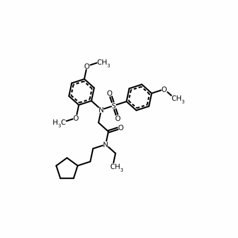 CCN(CCC1CCCC1)C(=O)CN(c1cc(OC)ccc1OC)S(=O)(=O)c1ccc(OC)cc1